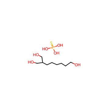 OCCCCCCC(CO)CO.OP(O)(O)=S